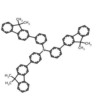 CC1(C)c2ccccc2-c2cc(-c3ccc(N(c4cccc(-c5ccc6c(c5)C(C)(C)c5ccccc5-6)c4)c4cccc(-c5ccc6c(c5)C(C)(C)c5ccccc5-6)c4)cc3)ccc21